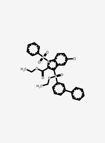 CCOC(=O)c1c(P(=O)(OCC)c2cccc(-c3ccccc3)c2)c2cc(Cl)ccc2n1S(=O)(=O)c1ccccc1